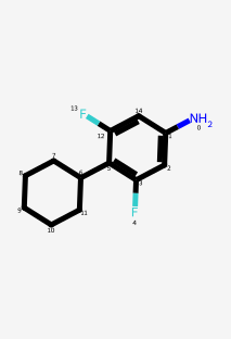 Nc1cc(F)c(C2CCCCC2)c(F)c1